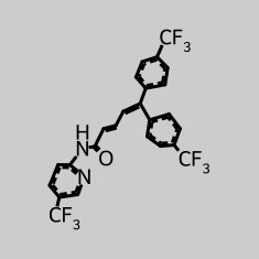 O=C(C=CC=C(c1ccc(C(F)(F)F)cc1)c1ccc(C(F)(F)F)cc1)Nc1ccc(C(F)(F)F)cn1